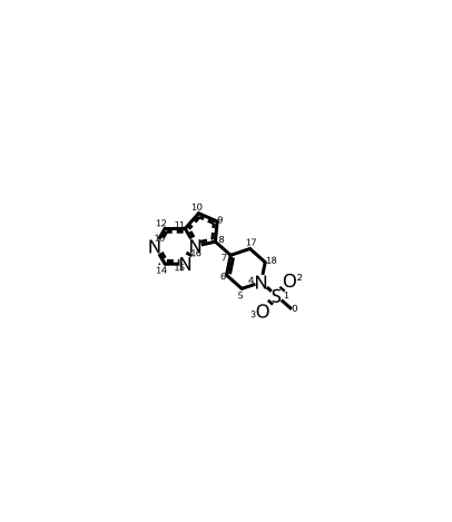 CS(=O)(=O)N1CC=C(c2ccc3cn[c]nn23)CC1